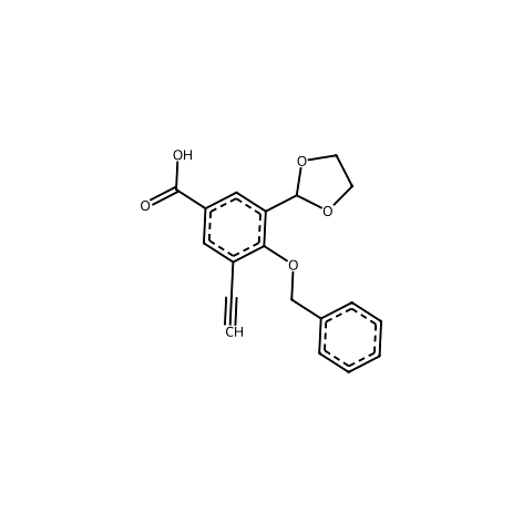 C#Cc1cc(C(=O)O)cc(C2OCCO2)c1OCc1ccccc1